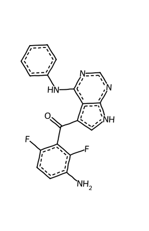 Nc1ccc(F)c(C(=O)c2c[nH]c3ncnc(Nc4ccccc4)c23)c1F